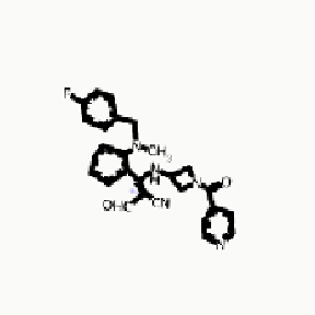 CN(Cc1ccc(F)cc1)c1ccccc1/C(NC1CN(C(=O)c2ccncc2)C1)=C(/C#N)C=O